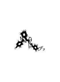 Cc1ccc(-c2nc(C(=O)NCCc3ccc(C(F)(F)F)cc3)c3ccccc3n2)cc1